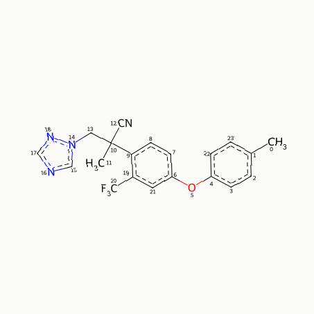 Cc1ccc(Oc2ccc(C(C)(C#N)Cn3cncn3)c(C(F)(F)F)c2)cc1